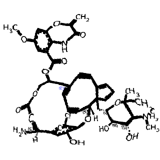 C=C1Oc2cc(OC)cc(C(=O)OC3COC(=O)C[C@H](N)c4cc(O)c(c(Cl)c4)O[C@@H]4C#C/C=C/3C#CC3=CC=CC34C[C@@H]3OC(C)(C)C(N(C)C)[C@H](O)[C@H]3O)c2NC1=O